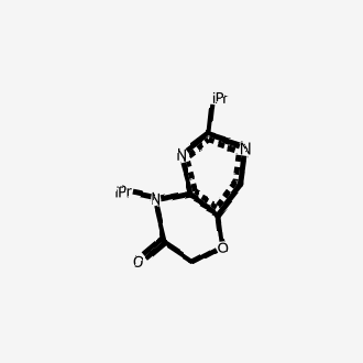 CC(C)c1ncc2c(n1)N(C(C)C)C(=O)CO2